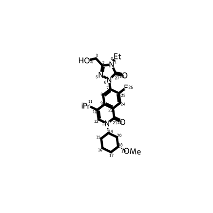 CCn1c(CO)nn(-c2cc3c(C(C)C)cn([C@H]4CCC[C@@H](OC)C4)c(=O)c3cc2F)c1=O